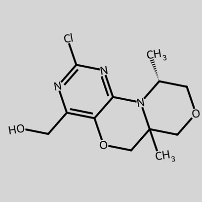 C[C@@H]1COCC2(C)COc3c(CO)nc(Cl)nc3N12